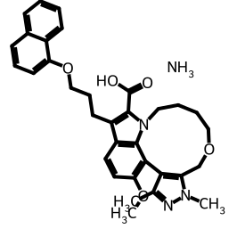 COc1ccc2c(CCCOc3cccc4ccccc34)c(C(=O)O)n3c2c1-c1c(C)nn(C)c1COCCCC3.N